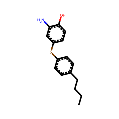 CCCCc1ccc(Sc2ccc(O)c(N)c2)cc1